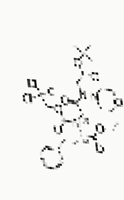 CCOC(=O)[C@H](CCc1ccccc1)N(C(=O)OCC(Cl)(Cl)Cl)[C@@H](C)C(=O)N(CC(=O)OC(C)(C)C)N1CCOCC1